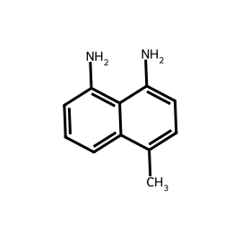 Cc1ccc(N)c2c(N)cccc12